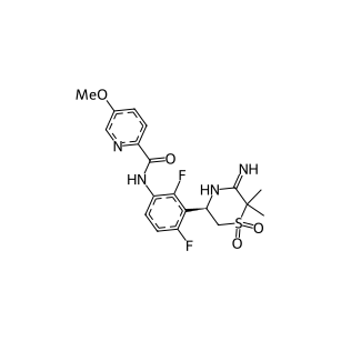 COc1ccc(C(=O)Nc2ccc(F)c([C@@H]3CS(=O)(=O)C(C)(C)C(=N)N3)c2F)nc1